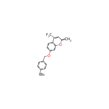 C=C1C=C(C(F)(F)F)c2ccc(OCc3ccc(C(C)(C)C)cc3)cc2O1